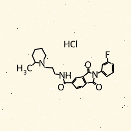 CC1CCCCN1CCCNC(=O)c1ccc2c(c1)C(=O)N(c1cccc(F)c1)C2=O.Cl